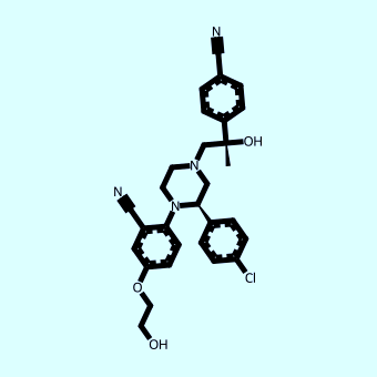 C[C@@](O)(CN1CCN(c2ccc(OCCO)cc2C#N)[C@H](c2ccc(Cl)cc2)C1)c1ccc(C#N)cc1